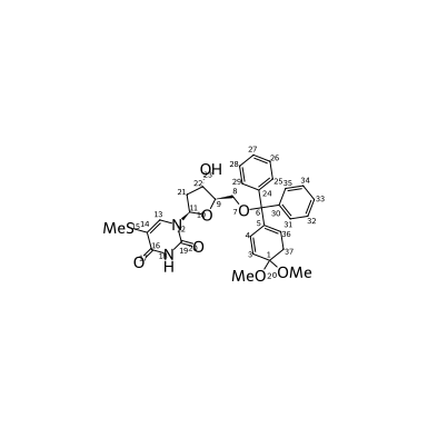 COC1(OC)C=CC(C(OC[C@H]2O[C@@H](n3cc(SC)c(=O)[nH]c3=O)C[C@@H]2O)(c2ccccc2)c2ccccc2)=CC1